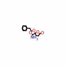 NC(=O)C1(OCCc2ccccc2)[CH]CC(=O)O1